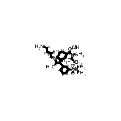 Cc1c(-c2cccc(S(=O)(=O)N(C)C)c2)c2cc(C(=O)N(C)C(C)C)ccc2n1C/C(F)=C/CN.Cl